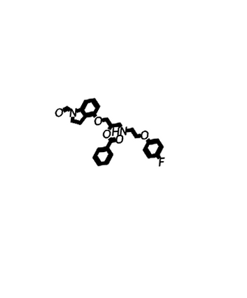 O=CN1CCc2c(OCC(CNCCOc3ccc(F)cc3)OC(=O)c3ccccc3)cccc21